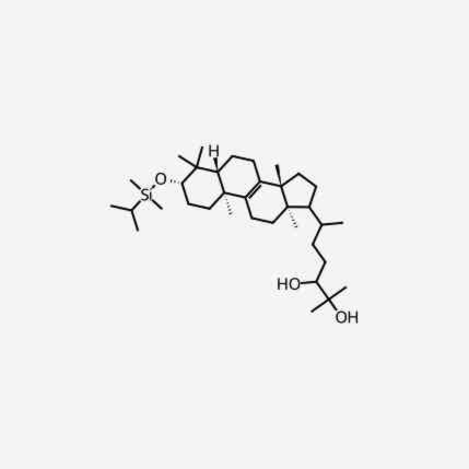 CC(CCC(O)C(C)(C)O)C1CC[C@@]2(C)C3=C(CC[C@]12C)[C@@]1(C)CC[C@H](O[Si](C)(C)C(C)C)C(C)(C)[C@@H]1CC3